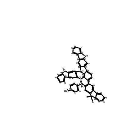 CC(C)(C)c1ccc(Nc2cc3c(cc2-c2ccc4c5cc6sc7ccccc7c6cc5n5c4c2Bc2cc4c(cc2-5)oc2ccccc24)-c2ccccc2C3(C)C)cc1